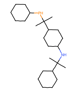 CC(C)(NC1CCC(C(C)(C)PC2CCCCC2)CC1)C1CCCCC1